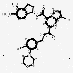 Cc1c(C(=O)O)ccc2c1CC[C@@H]2NC(=O)c1cc(C(=O)NCc2ccc(F)c(N3CCOCC3)c2)nc2c(F)cnn12